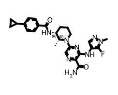 C[C@@H]1[C@H](NC(=O)c2ccc(C3CC3)cc2)CCCN1c1cnc(C(N)=O)c(Nc2cnn(C)c2F)n1